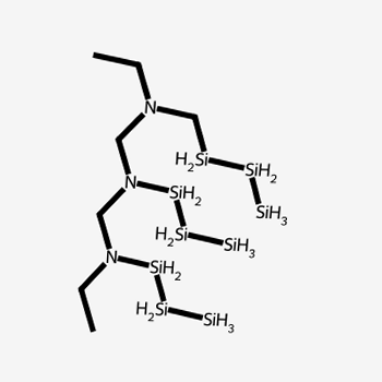 CCN(C[SiH2][SiH2][SiH3])CN(CN(CC)[SiH2][SiH2][SiH3])[SiH2][SiH2][SiH3]